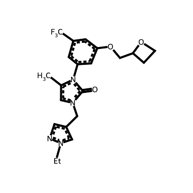 CCn1cc(Cn2cc(C)n(-c3cc(OCC4CCO4)cc(C(F)(F)F)c3)c2=O)cn1